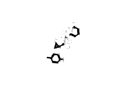 Cc1ccc(Br)c(OC2(C(=O)NS(=O)(=O)c3cccc(F)n3)CC2)c1